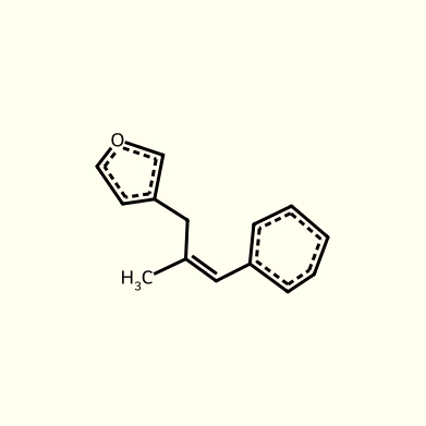 CC(=Cc1ccccc1)Cc1ccoc1